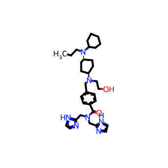 CCCN(C1CCCCC1)[C@H]1CC[C@H](N(CCO)Cc2ccc(C(=O)N(Cc3ncc[nH]3)Cc3ncc[nH]3)cc2)CC1